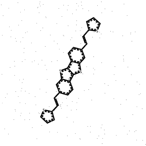 C(=C\c1cccs1)/c1ccc2c(c1)sc1c3ccc(/C=C/c4cccs4)cc3sc21